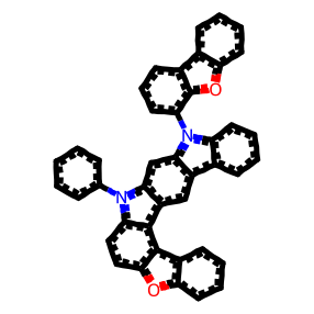 c1ccc(-n2c3cc4c(cc3c3c5c(ccc32)oc2ccccc25)c2ccccc2n4-c2cccc3c2oc2ccccc23)cc1